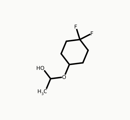 CC(O)OC1CCC(F)(F)CC1